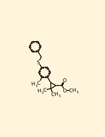 COC(=O)C1C(c2ccc(SCc3ccccc3)cc2C)C1(C)C